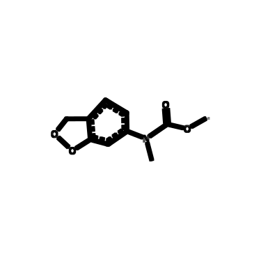 [CH2]OC(=O)N(C)c1ccc2c(c1)OOC2